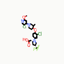 COc1cc(N2CCC(Oc3ccc(N4C[C@H](C(F)(F)F)C[C@@H]4CC(=O)O)cc3Cl)C(C)C2)c(Cl)cn1